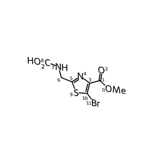 COC(=O)c1nc(CNC(=O)O)sc1Br